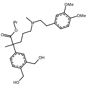 COc1ccc(CCN(C)CCCC(C)(C(=O)OC(C)C)c2ccc(CO)c(CO)c2)cc1OC